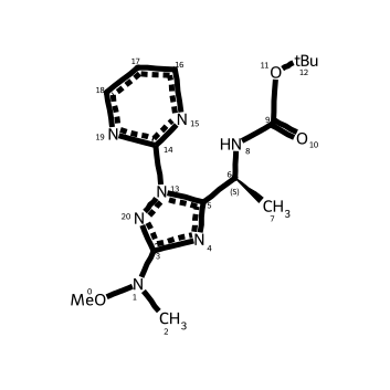 CON(C)c1nc([C@H](C)NC(=O)OC(C)(C)C)n(-c2ncccn2)n1